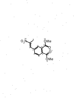 COC(=O)c1ccc(/C=C(\C)[N+](=O)[O-])cc1C(=O)OC